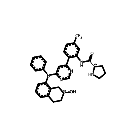 O=C(Nc1cc(C(F)(F)F)ccc1-c1cc(N(c2ccccc2)c2cccc3c2C[C@@H](O)CC3)ncn1)[C@@H]1CCCN1